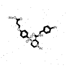 COC(=O)CCOc1ccc(S(=O)(=O)N2CCN(C(C)=O)C[C@@H]2C(=O)NCc2ccc(C(C)C)cc2)cc1